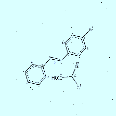 Brc1ccc(/C=C/c2ccccc2)cc1.CCC(CC)C(=O)O